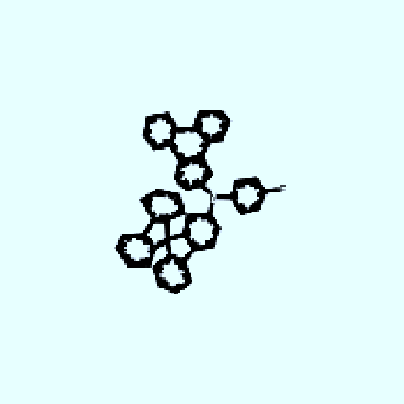 Fc1ccc(N(c2ccc3c(c2)C2(c4ccccc4-c4ccccc42)c2ccccc2-3)c2ccc3c4ccccc4c4ccccc4c3c2)cc1